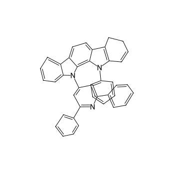 C1=Cc2c(c3ccc4c5ccccc5n(-c5cc(-c6ccccc6)nc(-c6ccccc6)c5)c4c3n2-c2ccccc2)CC1